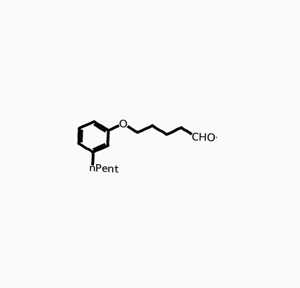 CCCCCc1cccc(OCCCC[C]=O)c1